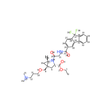 CCOC(=O)[C@@H]1C[C@]2(COCCCN(C)C)C[C@@H]2N1C(=O)CNC(=O)c1ccc2c(c1)-c1ccccc1C2(F)F